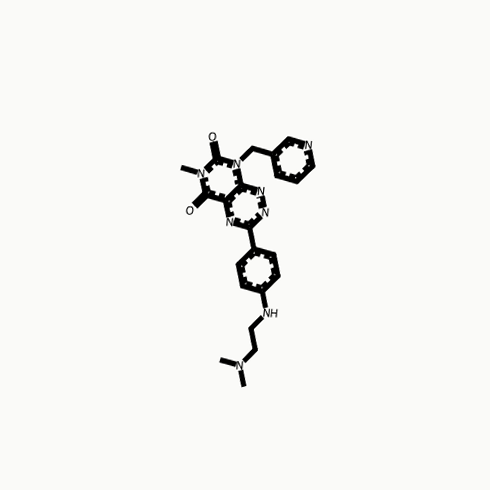 CN(C)CCNc1ccc(-c2nnc3c(n2)c(=O)n(C)c(=O)n3Cc2cccnc2)cc1